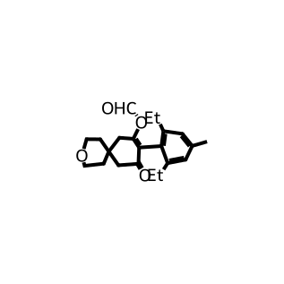 CCc1cc(C)cc(CC)c1C1=C(OC=O)CC2(CCOCC2)CC1=O